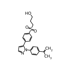 C=C(C)c1ccc(-n2nccc2-c2ccc(S(=O)(=O)CCCO)cc2)cc1